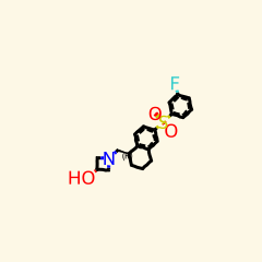 O=S(=O)(c1cccc(F)c1)c1ccc2c(c1)CCC[C@H]2CN1CC(O)C1